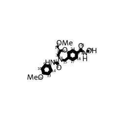 COC[C@@H]1CN(C(=O)Nc2ccc(OC)cc2)Cc2ccc(C(=O)NO)cc2O1